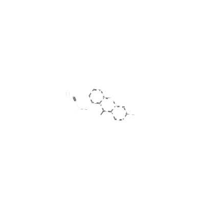 C#CC(C)Cc1cccc2oc3c(C)c(C)ccc3c(=O)c12